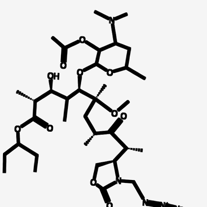 CCC(CC)OC(=O)[C@H](C)[C@@H](O)C(C)[C@@H](OC1OC(C)CC(N(C)C)C1OC(C)=O)[C@](C)(C[C@@H](C)C(=O)[C@H](C)[C@@H]1COC(=O)N1CN=[N+]=[N-])OC